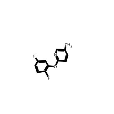 Cc1ccc(Oc2cc(F)ccc2F)nc1